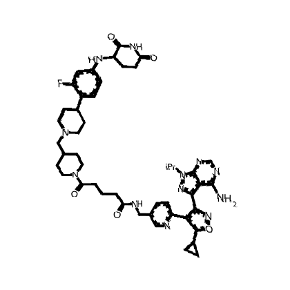 CC(C)n1nc(-c2noc(C3CC3)c2-c2ccc(CNC(=O)CCCC(=O)N3CCC(CN4CCC(c5ccc(NC6CCC(=O)NC6=O)cc5F)CC4)CC3)cn2)c2c(N)ncnc21